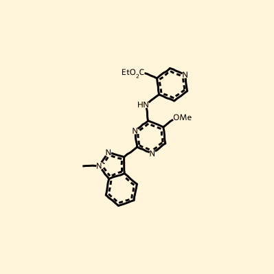 CCOC(=O)c1cnccc1Nc1nc(-c2nn(C)c3ccccc23)ncc1OC